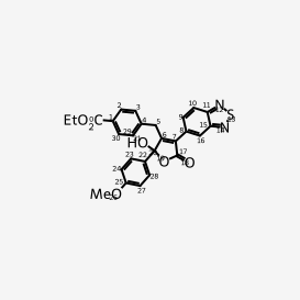 CCOC(=O)c1ccc(CC2=C(c3ccc4nsnc4c3)C(=O)OC2(O)c2ccc(OC)cc2)cc1